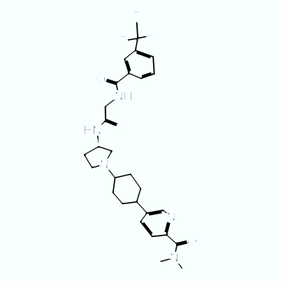 CN(C)C(=O)c1ccc(C2CCC(N3CC[C@@H](NC(=O)CNC(=O)c4cccc(C(F)(F)F)c4)C3)CC2)cn1